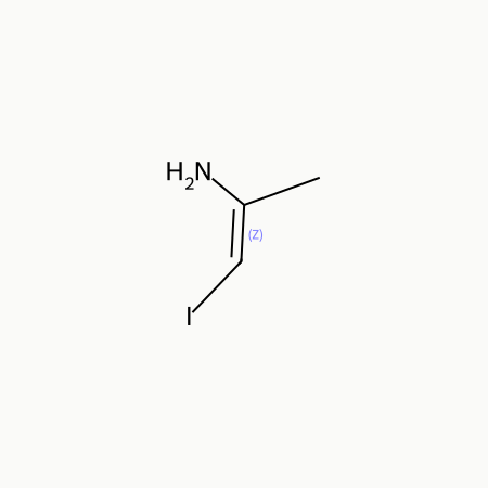 C/C(N)=C/I